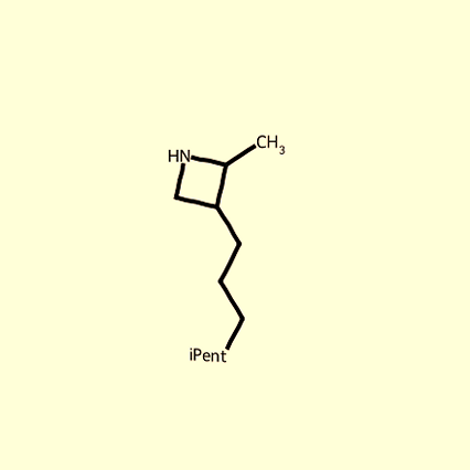 CCCC(C)CCCC1CNC1C